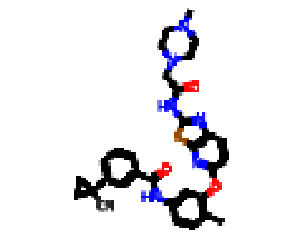 Cc1ccc(NC(=O)c2cccc(C3(C#N)CC3)c2)cc1Oc1ccc2nc(NC(=O)CN3CCN(C)CC3)sc2n1